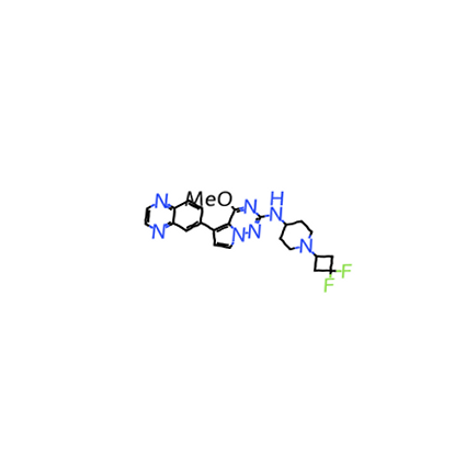 COc1nc(NC2CCN(C3CC(F)(F)C3)CC2)nn2ccc(-c3ccc4nccnc4c3)c12